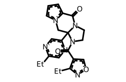 CCc1cnc(C23Cn4cccc4C(=O)N2CCN3C(=O)c2conc2CC)cn1